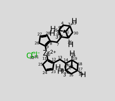 CC1(C)[C@H]2CCC(CC3=[C]([Zr+2][C]4=C(CC5CC[C@H]6C[C@@H]5C6(C)C)C=CC4)CC=C3)[C@@H]1C2.[Cl-].[Cl-]